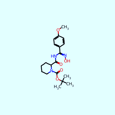 COc1ccc(C(=NO)NC(=O)C2CCCCN2C(=O)OC(C)(C)C)cc1